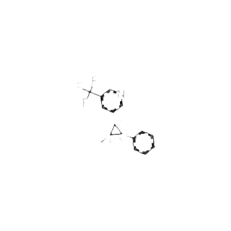 C[C@@H]1[C@H](c2ccccc2)[C@H]1c1cncc(C(F)(F)F)c1